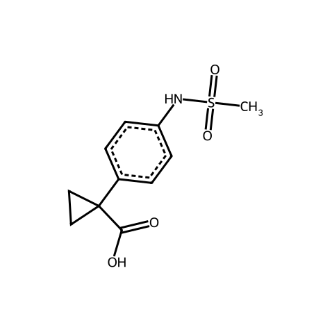 CS(=O)(=O)Nc1ccc(C2(C(=O)O)CC2)cc1